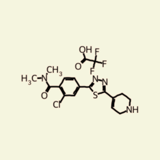 CN(C)C(=O)c1ccc(-c2nnc(C3=CCNCC3)s2)cc1Cl.O=C(O)C(F)(F)F